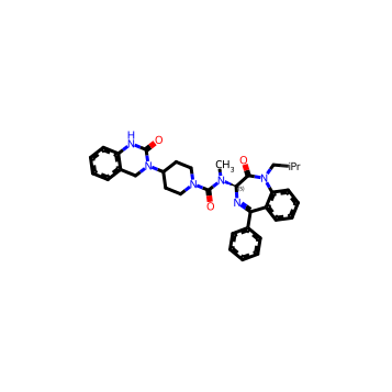 CC(C)CN1C(=O)[C@H](N(C)C(=O)N2CCC(N3Cc4ccccc4NC3=O)CC2)N=C(c2ccccc2)c2ccccc21